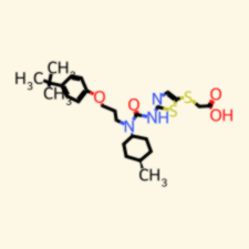 CC(C)(C)c1ccc(OCCCN(C(=O)Nc2ncc(SCC(=O)O)s2)[C@H]2CC[C@H](C)CC2)cc1